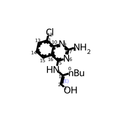 CCCC/C(=C\O)Nc1nc(N)nc2c(Cl)cccc12